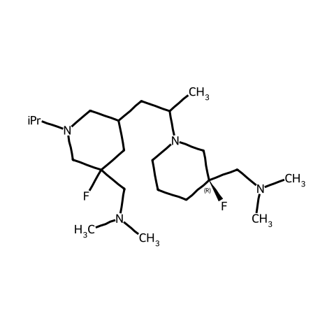 CC(C)N1CC(CC(C)N2CCC[C@@](F)(CN(C)C)C2)CC(F)(CN(C)C)C1